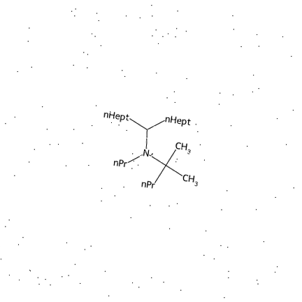 CCCCCCCC(CCCCCCC)N(CCC)C(C)(C)CCC